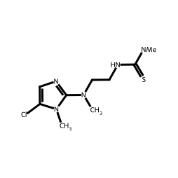 CNC(=S)NCCN(C)c1ncc(Cl)n1C